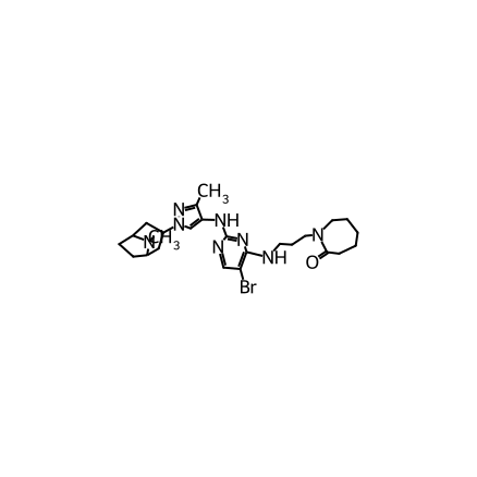 Cc1nn(C2CC3CCC(C2)N3C)cc1Nc1ncc(Br)c(NCCCN2CCCCCC2=O)n1